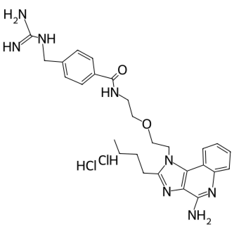 CCCCc1nc2c(N)nc3ccccc3c2n1CCOCCNC(=O)c1ccc(CNC(=N)N)cc1.Cl.Cl